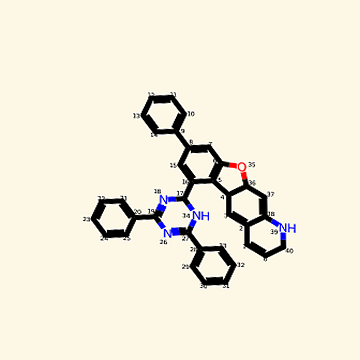 C1=CC2=CC3c4c(cc(-c5ccccc5)cc4C4N=C(c5ccccc5)N=C(c5ccccc5)N4)OC3C=C2NC1